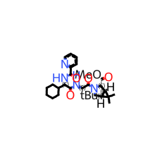 COC(=O)[C@@H]1[C@@H]2[C@H](CN1C(=O)[C@@H](NC(=O)[C@@H](NC(=O)c1ccccn1)C1CCCCC1)C(C)(C)C)C2(C)C